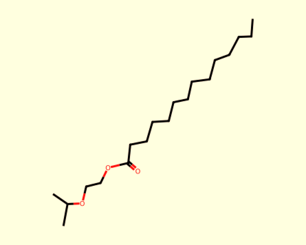 CCCCCCCCCCCCCC(=O)OCCOC(C)C